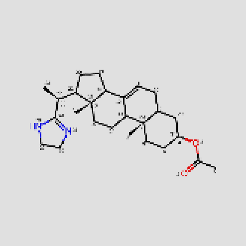 CC(=O)O[C@H]1CC[C@@]2(C)C(CC=C3C2CC[C@@]2(C)C3CCC2[C@H](C)C2=NCCN2)C1